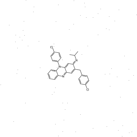 CC(C)N=c1cc2n(-c3ccc(Cl)cc3)c3ccccc3nc-2cc1Cc1ccc(Cl)cc1